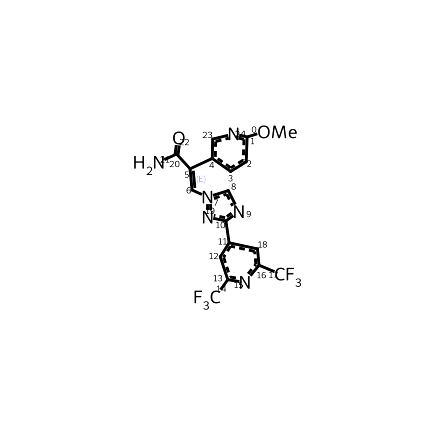 COc1ccc(/C(=C\n2cnc(-c3cc(C(F)(F)F)nc(C(F)(F)F)c3)n2)C(N)=O)cn1